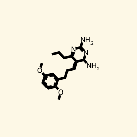 CCCC1=NC(N)=NC(N)C1=CCCc1cc(OC)ccc1OC